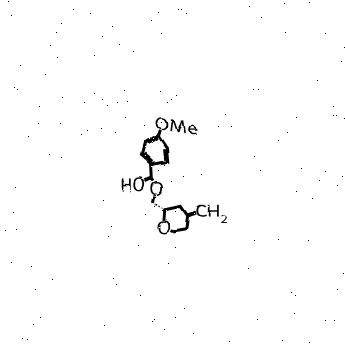 C=C1CCO[C@H](COC(O)c2ccc(OC)cc2)C1